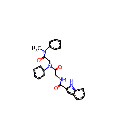 CN(C(=O)CN(C(=O)CNC(=O)c1cc2ccccc2[nH]1)c1ccccc1)c1ccccc1